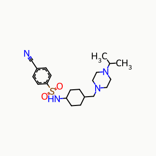 CC(C)N1CCN(CC2CCC(NS(=O)(=O)c3ccc(C#N)cc3)CC2)CC1